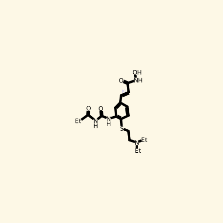 CCC(=O)NC(=O)Nc1cc(/C=C/C(=O)NO)ccc1SCCN(CC)CC